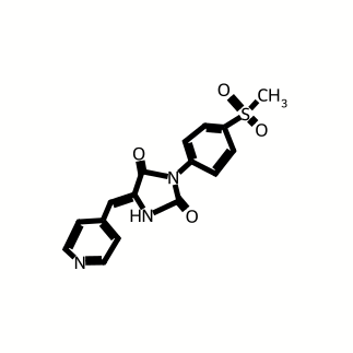 CS(=O)(=O)c1ccc(N2C(=O)N/C(=C\c3ccncc3)C2=O)cc1